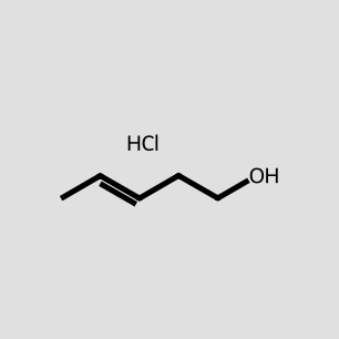 CC=CCCO.Cl